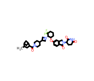 CC1CC(C(=O)N2CCC(C3CN([C@H]4[C@H](Oc5ccc6c(c5)CN(C5CCC(=O)NC5=O)C6=O)CCCC4(F)F)C3)CC2)C2CC1C2